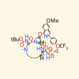 COc1ccc2c(O[C@@H]3C[C@H]4C(=O)N[C@]5(C(=O)NS(=O)(=O)C6CC6)C[C@H]5CCCCCN(C)C[C@H](NC(=O)OC(C)(C)C)C(=O)N4C3)nc(-c3ccc(OC(F)(F)F)cc3)cc2c1